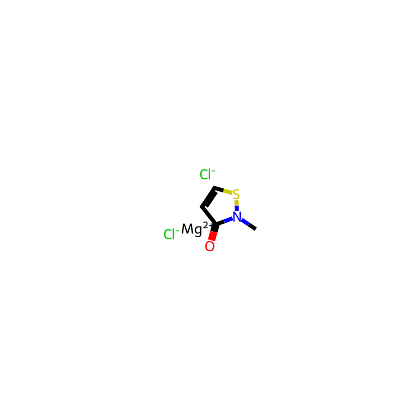 Cn1sccc1=O.[Cl-].[Cl-].[Mg+2]